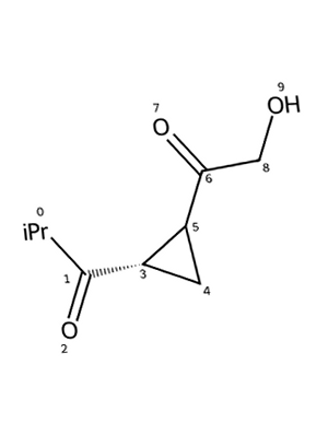 CC(C)C(=O)[C@H]1CC1C(=O)CO